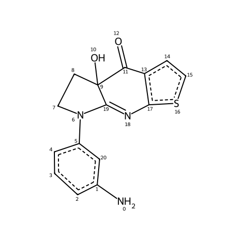 Nc1cccc(N2CCC3(O)C(=O)c4ccsc4N=C23)c1